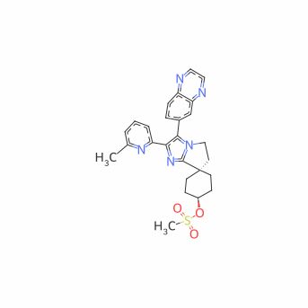 Cc1cccc(-c2nc3n(c2-c2ccc4nccnc4c2)CC[C@]32CC[C@H](OS(C)(=O)=O)CC2)n1